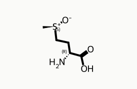 C[S@@+]([O-])CC[C@@H](N)C(=O)O